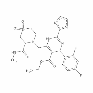 CCOC(=O)C1=C(CN2CCS(=O)(=O)CC2C(=O)NC)NC(c2nccs2)=NC1c1ccc(F)cc1Cl